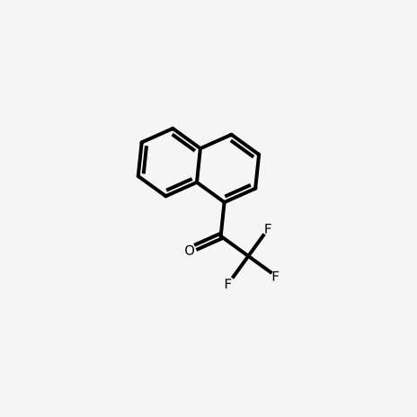 O=C(c1cccc2ccccc12)C(F)(F)F